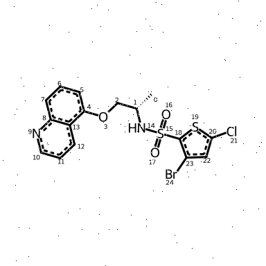 C[C@@H](COc1cccc2ncccc12)NS(=O)(=O)c1sc(Cl)cc1Br